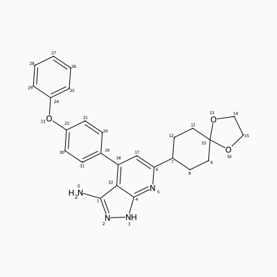 Nc1n[nH]c2nc(C3CCC4(CC3)OCCO4)cc(-c3ccc(Oc4ccccc4)cc3)c12